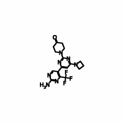 Nc1ncc(-c2cc(N3CCC3)nc(N3CCC(=O)CC3)n2)c(C(F)(F)F)n1